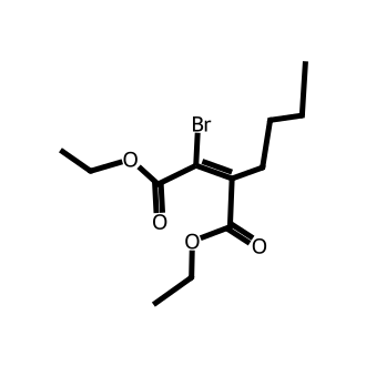 CCCCC(C(=O)OCC)=C(Br)C(=O)OCC